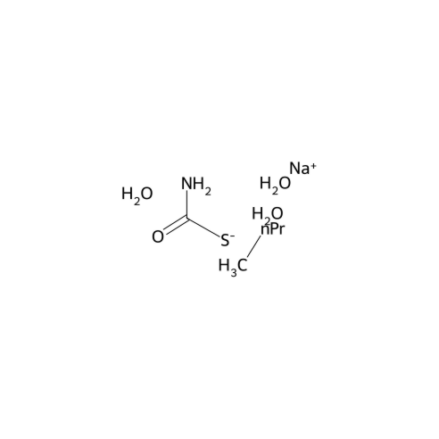 CCCC.NC(=O)[S-].O.O.O.[Na+]